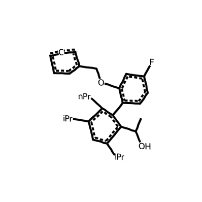 CCCc1c(C(C)C)cc(C(C)C)c(C(C)O)c1-c1ccc(F)cc1OCc1ccccc1